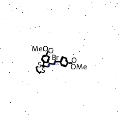 COC(=O)c1ccc(/C(Br)=C/C=C/C2(c3ccc(C(=O)OC)cc3)SCCCS2)cc1